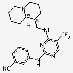 N#Cc1cccc(Nc2ncc(C(F)(F)F)c(NC[C@@H]3CCCN4CCCC[C@H]34)n2)c1